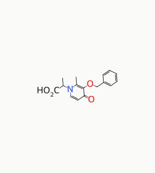 Cc1c(OCc2ccccc2)c(=O)ccn1C(C)C(=O)O